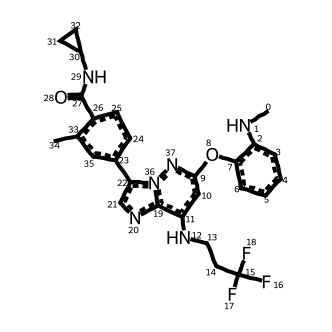 CNc1ccccc1Oc1cc(NCCC(F)(F)F)c2ncc(-c3ccc(C(=O)NC4CC4)c(C)c3)n2n1